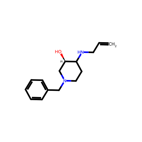 C=CCNC1CCN(Cc2ccccc2)C[C@H]1O